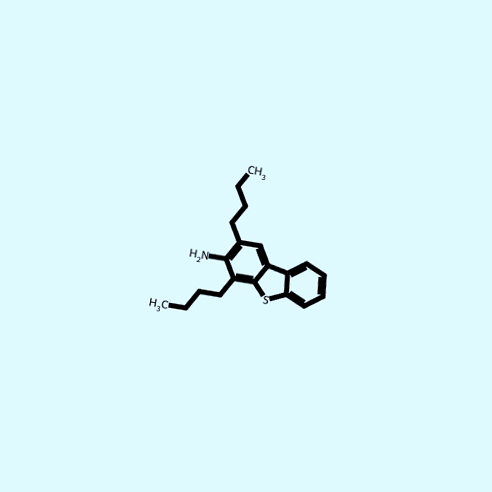 CCCCc1cc2c(sc3ccccc32)c(CCCC)c1N